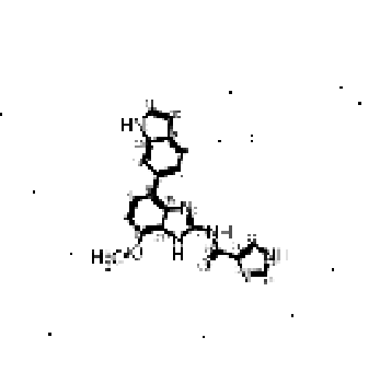 COc1ccc(-c2ccc3cc[nH]c3c2)c2nc(NC(=O)c3c[nH]cn3)[nH]c12